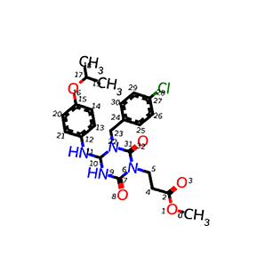 COC(=O)CCN1C(=O)NC(Nc2ccc(OC(C)C)cc2)N(Cc2ccc(Cl)cc2)C1=O